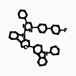 Fc1ccc(-c2ccc(-c3cc(-c4ccccc4)nc(-n4c5ccccc5c5ccc(-c6ccc7c(c6)c6ccccc6n7-c6ccccc6)cc54)n3)cc2)cc1